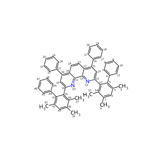 Cc1cc(C)c(-c2ccccc2)c(-c2cc(-c3ccccc3)c3ccc4c(-c5ccccc5)cc(-c5c(C)c(C)cc(C)c5-c5ccccc5)nc4c3n2)c1C